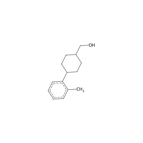 Cc1c[c]ccc1C1CCC(CO)CC1